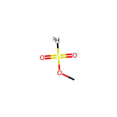 [2H]S(=O)(=O)OC